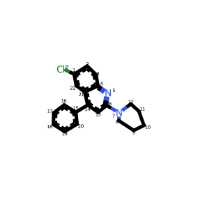 Clc1ccc2nc(N3CCCCC3)cc(-c3ccccc3)c2c1